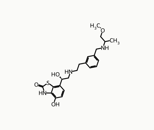 COCC(C)NCc1cccc(CCNC[C@H](O)c2ccc(O)c3[nH]c(=O)sc23)c1